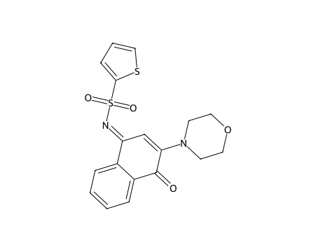 O=C1C(N2CCOCC2)=C/C(=N\S(=O)(=O)c2cccs2)c2ccccc21